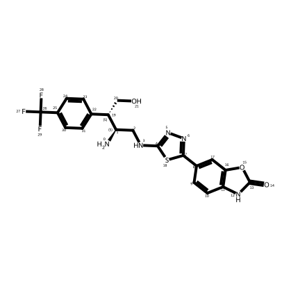 N[C@H](CNc1nnc(-c2ccc3[nH]c(=O)oc3c2)s1)[C@@H](CO)c1ccc(C(F)(F)F)cc1